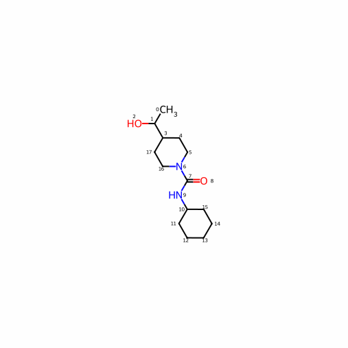 CC(O)C1CCN(C(=O)NC2CCCCC2)CC1